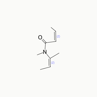 C/C=C\C(=O)N(C)/C(C)=C\C